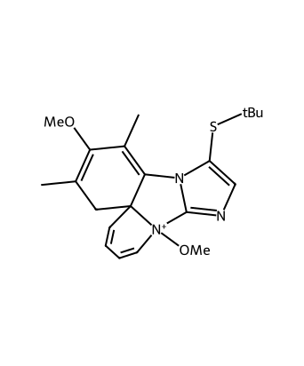 COC1=C(C)CC23C=CC=C[N+]2(OC)c2ncc(SC(C)(C)C)n2C3=C1C